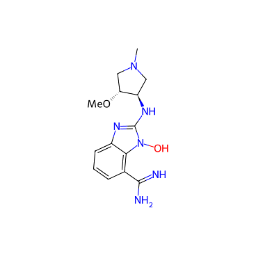 CO[C@@H]1CN(C)C[C@H]1Nc1nc2cccc(C(=N)N)c2n1O